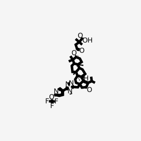 CC(C)C1=C2[C@H]3CCC4[C@@]5(C)CC[C@H](OC(=O)CC(C)(C)C(=O)O)C(C)(C)C5CC[C@@]4(C)[C@]3(C)CCC2(Cc2nnc(-c3ccc(OC(F)(F)F)nc3)n2C)CC1=O